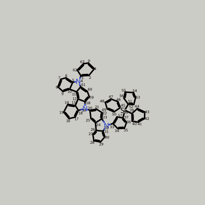 c1ccc(-n2c3ccccc3c3c4c5ccccc5n(-c5ccc6c(c5)c5ccccc5n6-c5cccc([Si](c6ccccc6)(c6ccccc6)c6ccccc6)c5)c4ccc32)cc1